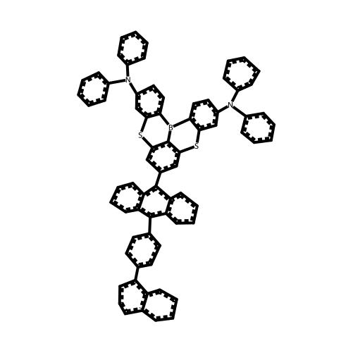 c1ccc(N(c2ccccc2)c2ccc3c(c2)Sc2cc(-c4c5ccccc5c(-c5ccc(-c6cccc7ccccc67)cc5)c5ccccc45)cc4c2B3c2ccc(N(c3ccccc3)c3ccccc3)cc2S4)cc1